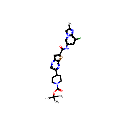 Cc1cn2cc(NC(=O)c3cc4ncc(C5CCN(C(=O)OC(C)(C)C)CC5)nc4s3)cc(F)c2n1